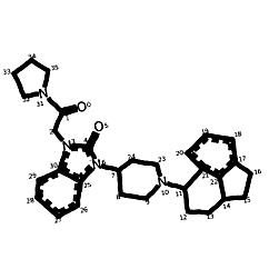 O=C(Cn1c(=O)n(C2CCN(C3CCC4CCc5cccc3c54)CC2)c2ccccc21)N1CCCC1